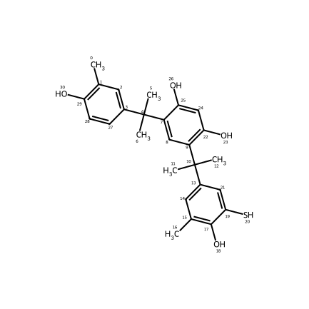 Cc1cc(C(C)(C)c2cc(C(C)(C)c3cc(C)c(O)c(S)c3)c(O)cc2O)ccc1O